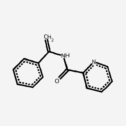 C=C(NC(=O)c1ccccn1)c1ccccc1